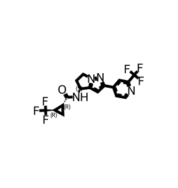 O=C(N[C@H]1CCn2nc(-c3ccnc(C(F)(F)F)c3)cc21)[C@@H]1C[C@H]1C(F)(F)F